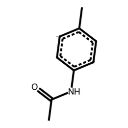 CC(=O)Nc1c[c]c(C)cc1